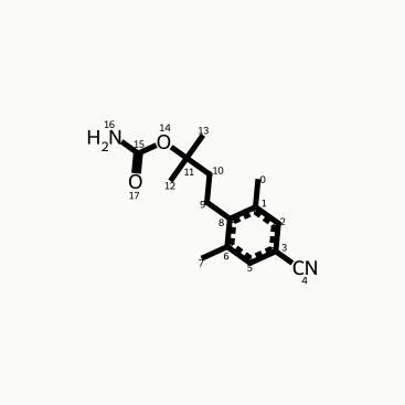 Cc1cc(C#N)cc(C)c1CCC(C)(C)OC(N)=O